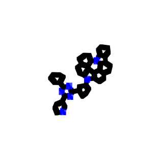 c1ccc(-c2nc(-c3cccnc3)nc(-c3cccc(-n4c5ccc6cccc7c6c5c5c6c(ccc8c9ccccc9n7c86)ccc54)c3)n2)cc1